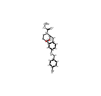 CC(C)(C)OC(=O)N1CCC23CCCCC2C1Cc1ccc(OCc2ccc(Br)cc2)cc13